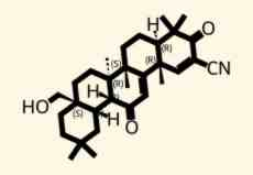 CC1(C)CC[C@]2(CO)CC[C@]3(C)[C@H](C(=O)C=C4[C@@]5(C)C=C(C#N)C(=O)C(C)(C)[C@@H]5CC[C@]43C)[C@@H]2C1